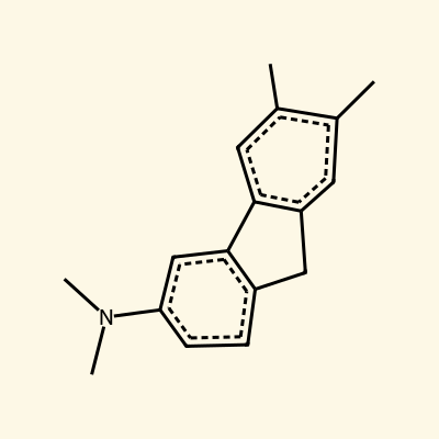 Cc1cc2c(cc1C)-c1cc(N(C)C)ccc1C2